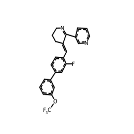 Fc1cc(-c2cccc(OC(F)(F)F)c2)ccc1C=C1CCCN=C1c1cccnc1